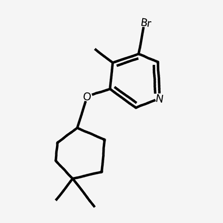 Cc1c(Br)cncc1OC1CCC(C)(C)CC1